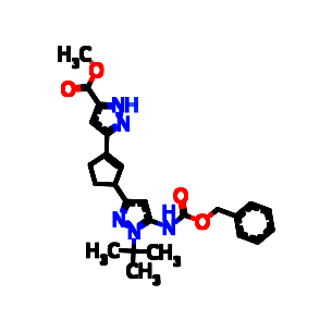 COC(=O)c1cc(C2=CC(c3cc(NC(=O)OCc4ccccc4)n(C(C)(C)C)n3)CC2)n[nH]1